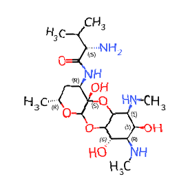 CN[C@@H]1[C@H](O)[C@H](NC)C2O[C@]3(O)C(OC2[C@H]1O)O[C@H](C)C[C@H]3NC(=O)[C@@H](N)C(C)C